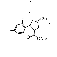 COC(=O)C1CN(C(C)(C)C)CC1c1ccc(C)cc1F